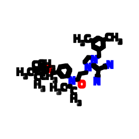 Cc1cc(C)cc(CN2CCN(CCC(=O)N(c3cccc(CO[Si](C)(C)C(C)(C)C)c3)C(C)C)C2=C(C#N)C#N)c1